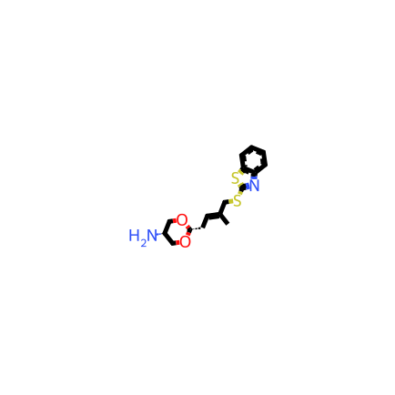 C/C(=C\C[C@H]1OC[C@@H](N)CO1)CSc1nc2ccccc2s1